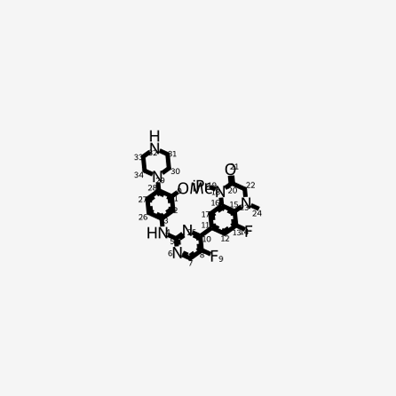 COc1cc(Nc2ncc(F)c(-c3cc(F)c4c(c3)N(C(C)C)C(=O)CN4C)n2)ccc1N1CCNCC1